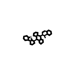 CC1c2ccccc2C=CC1c1c2ccccc2c(-c2cccc3c2sc2ccccc23)c2ccccc12